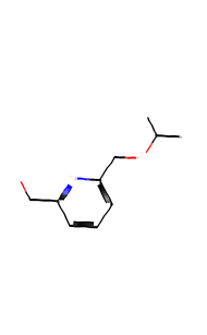 CC(C)OCc1cccc(CO)n1